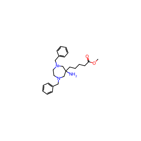 COC(=O)CCCCC1(N)CN(Cc2ccccc2)CCN(Cc2ccccc2)C1